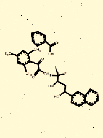 Cc1cc(C)c(C(=O)C(=O)O)c(C)c1.O=C(O)c1ccccc1.OC(CC(O)C(F)(F)F)c1ccc2ccccc2c1